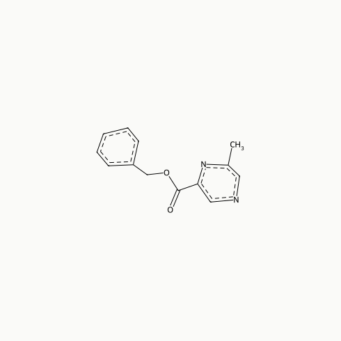 Cc1cncc(C(=O)OCc2ccccc2)n1